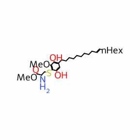 CCCCCC/C=C/CCCCCCCCCc1cc(O)c(SC[C@H](N)C(=O)OC)c(OC)c1O